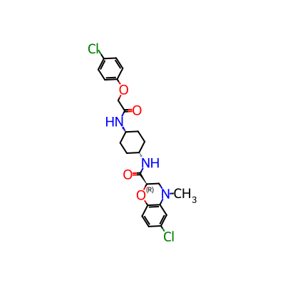 CN1C[C@H](C(=O)N[C@H]2CC[C@H](NC(=O)COc3ccc(Cl)cc3)CC2)Oc2ccc(Cl)cc21